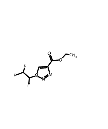 CCOC(=O)c1cn(C(F)C(F)F)nn1